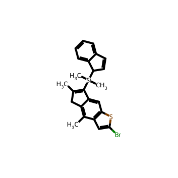 CC1=C([Si](C)(C)C2C=Cc3ccccc32)c2cc3sc(Br)cc3c(C)c2C1